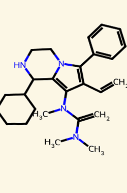 C=Cc1c(N(C)C(=C)N(C)C)c2n(c1-c1ccccc1)CCNC2C1CCCCC1